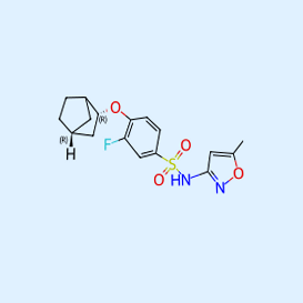 Cc1cc(NS(=O)(=O)c2ccc(O[C@@H]3C[C@@H]4CCC3C4)c(F)c2)no1